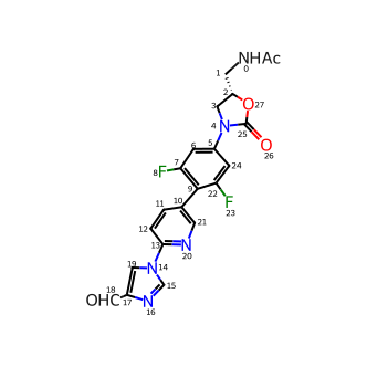 CC(=O)NC[C@H]1CN(c2cc(F)c(-c3ccc(-n4cnc(C=O)c4)nc3)c(F)c2)C(=O)O1